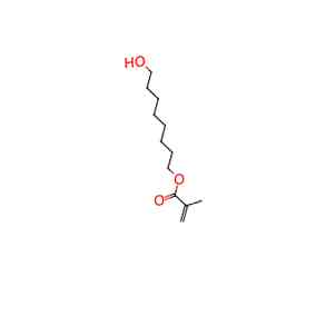 C=C(C)C(=O)OCCCCCCCCO